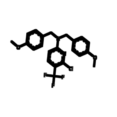 COc1ccc(CN(Cc2ccc(OC)cc2)c2ccc(C(F)(F)F)c(Cl)n2)cc1